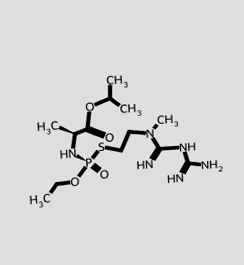 CCO[P@](=O)(N[C@@H](C)C(=O)OC(C)C)SCCN(C)C(=N)NC(=N)N